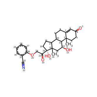 CC12CCC(=O)C=C1CCC1C2[C@@H](O)CC2(C)C1CC[C@]2(O)C(=O)COc1ccccc1C#N